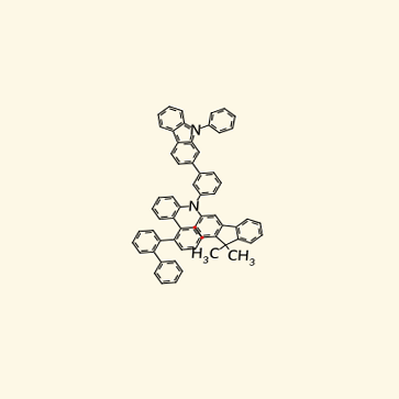 CC1(C)c2ccccc2-c2cc(N(c3cccc(-c4ccc5c6ccccc6n(-c6ccccc6)c5c4)c3)c3ccccc3-c3ccccc3-c3ccccc3-c3ccccc3)ccc21